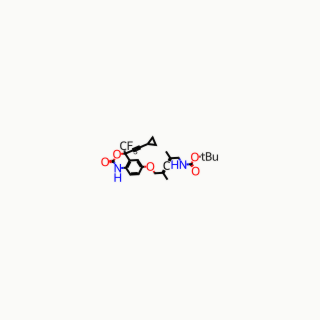 CC(=C=C(C)COc1ccc2c(c1)C(C#CC1CC1)(C(F)(F)F)OC(=O)N2)CNC(=O)OC(C)(C)C